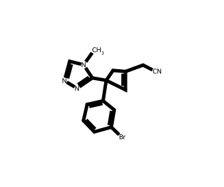 Cn1cnnc1C1(c2cccc(Br)c2)C=C(CC#N)C1